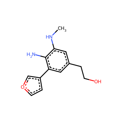 CNc1cc(CCO)cc(-c2ccoc2)c1N